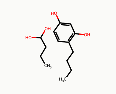 CCCC(O)O.CCCCc1ccc(O)cc1O